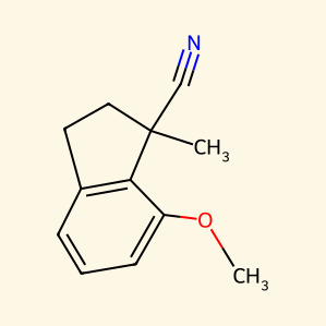 COc1cccc2c1C(C)(C#N)CC2